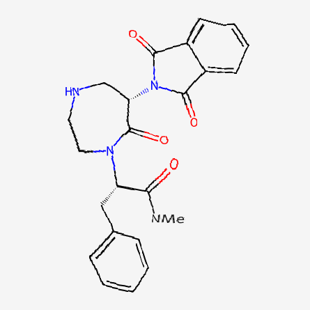 CNC(=O)[C@H](Cc1ccccc1)N1CCNC[C@H](N2C(=O)c3ccccc3C2=O)C1=O